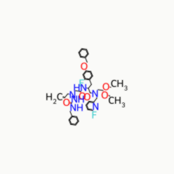 C=CCN(CC(=O)NC(Cc1ccc(OCc2ccccc2)cc1F)C(=O)N(Cc1cccc(F)n1)CC(OCC)OCC)NC(=O)NCc1ccccc1